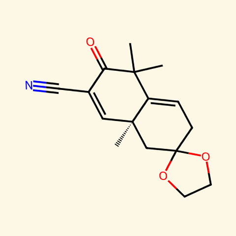 CC1(C)C(=O)C(C#N)=C[C@]2(C)CC3(CC=C12)OCCO3